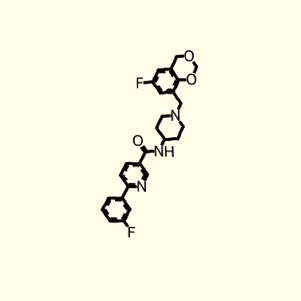 O=C(NC1CCN(Cc2cc(F)cc3c2OCOC3)CC1)c1ccc(-c2cccc(F)c2)nc1